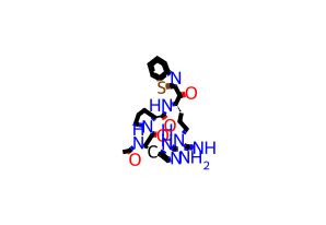 CC(=O)N[C@H](Cc1cnc[nH]1)C(=O)N1CCC[C@H]1C(=O)N[C@@H](CCCNC(=N)N)C(=O)c1nc2ccccc2s1